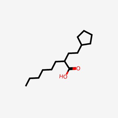 CCCCCCC(CCC1CCCC1)C(=O)O